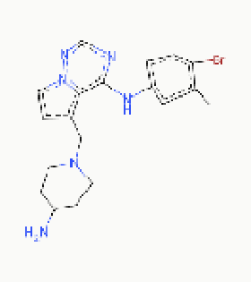 Cc1cc(Nc2ncnn3ccc(CN4CCC(N)CC4)c23)ccc1Br